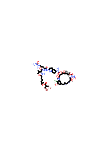 COc1cc2cc(c1Cl)N(C)C(=O)C[C@H](OC(=O)Nc1ccc3nc(NC(=O)[C@H](CCCNC(N)=O)NC(=O)[C@@H](NC(=O)CCCCC(C)(C)OC(=O)C(CBr)CBr)C(C)C)ccc3c1)[C@]1(C)O[C@H]1[C@H](C)[C@@H]1C[C@@](O)(NC(=O)O1)[C@H](OC)/C=C/C=C(\C)C2